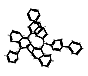 c1ccc(-c2ccc(N(c3ccc(-c4ccccc4)cc3)c3c4c(cc5ccccc35)-c3c-4c(-c4ccccc4)c4ccccc4c3-c3ccccc3)cc2)cc1